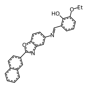 CCOc1cccc(/C=N/c2ccc3oc(-c4ccc5ccccc5c4)nc3c2)c1O